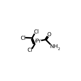 CC(C)C(N)=O.ClC=C(Cl)Cl